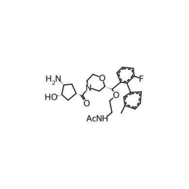 CC(=O)NCCOC(c1cccc(F)c1-c1cccc(C)c1)[C@@H]1CN(C(=O)[C@H]2C[C@@H](N)[C@@H](O)C2)CCO1